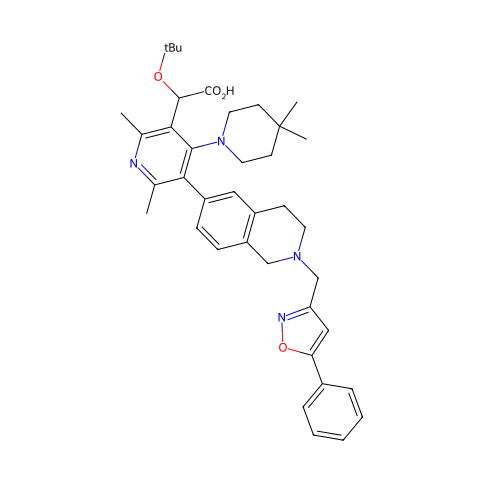 Cc1nc(C)c(C(OC(C)(C)C)C(=O)O)c(N2CCC(C)(C)CC2)c1-c1ccc2c(c1)CCN(Cc1cc(-c3ccccc3)on1)C2